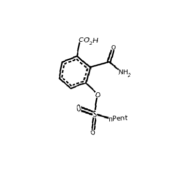 CCCCCS(=O)(=O)Oc1cccc(C(=O)O)c1C(N)=O